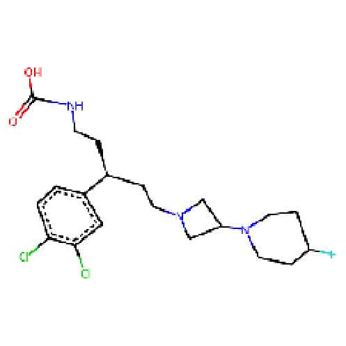 O=C(O)NCC[C@@H](CCN1CC(N2CCC(F)CC2)C1)c1ccc(Cl)c(Cl)c1